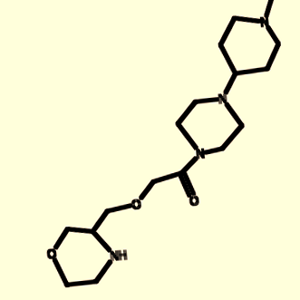 CN1CCC(N2CCN(C(=O)COCC3COCCN3)CC2)CC1